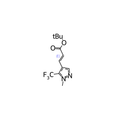 Cn1ncc(/C=C/C(=O)OC(C)(C)C)c1C(F)(F)F